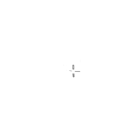 O=S(=O)([O-])[O-].[Cl-].[Co+3]